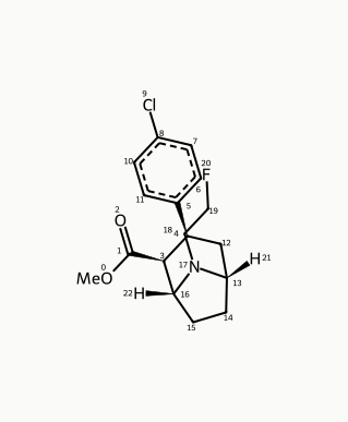 COC(=O)[C@H]1[C@@H](c2ccc(Cl)cc2)C[C@@H]2CC[C@H]1N2CCF